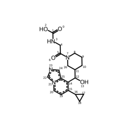 O=C(O)NCC(=O)N1CCCC(C(O)c2c(C3CC3)ccn3cncc23)C1